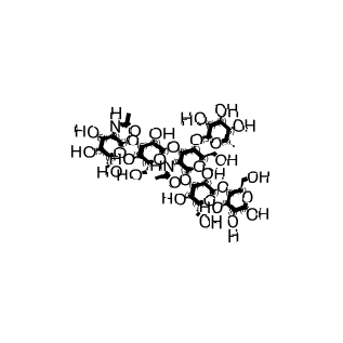 CC(=O)N[C@H]1[C@H](O[C@H]2[C@@H](O)[C@@H](CO)O[C@@H](O[C@@H]3[C@@H](NC(C)=O)[C@H](O[C@H]4[C@@H](O)[C@@H](CO)O[C@@H](O[C@H]5[C@H](O)[C@@H](O)[C@H](O)O[C@@H]5CO)[C@@H]4O)O[C@H](CO)[C@H]3O[C@@H]3O[C@@H](C)[C@@H](O)[C@@H](O)[C@@H]3O)[C@@H]2O)O[C@H](CO)[C@@H](O)[C@@H]1O